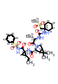 C=CC1C[C@]1(NC(=O)[C@@H]1C2C(CN1C(=O)[C@@H](NC(=O)NC1(CS(=O)(=O)C(C)(C)C)CCCCC1)C(C)(C)C)C2(C)C)C(=O)NS(=O)(=O)c1ccccc1